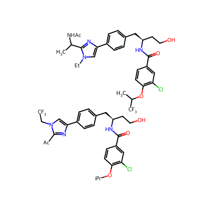 CC(=O)c1nc(-c2ccc(C[C@@H](CCO)NC(=O)c3ccc(OC(C)C)c(Cl)c3)cc2)cn1CC(F)(F)F.CCn1cc(-c2ccc(C[C@@H](CCO)NC(=O)c3ccc(OC(C)C(F)(F)F)c(Cl)c3)cc2)nc1C(C)NC(C)=O